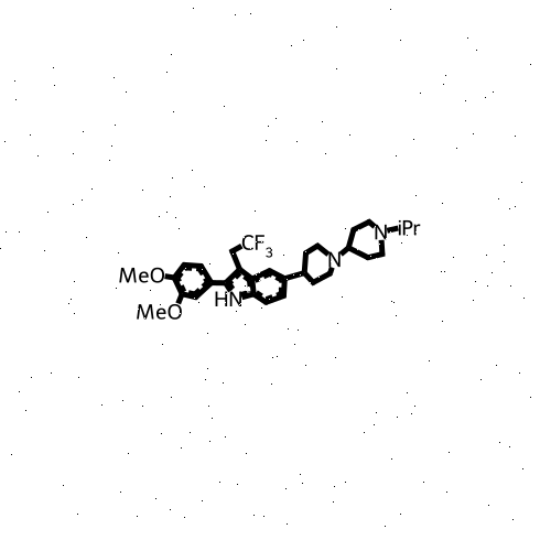 COc1ccc(-c2[nH]c3ccc(C4CCN(C5CCN(C(C)C)CC5)CC4)cc3c2CC(F)(F)F)cc1OC